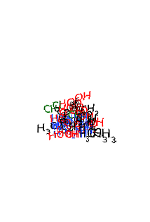 CNNC(=O)[C@@H]1NC(=O)[C@H]2NC(=O)[C@H](NC(=O)[C@@H]3NC(=O)[C@H](CC(N)=O)NC(=O)[C@H](NC(=O)[C@@H](CC(C)C)NC)[C@H](O)c4ccc(c(Cl)c4)Oc4cc3cc(c4O[C@@H]3O[C@H](CO)[C@@H](O)[C@H](O)[C@H]3O[C@H]3C[C@](C)(NCCn4ccc(NC(=O)Cc5ccc(Cl)c(Cl)c5)nc4=O)[C@H](O)[C@H](C)O3)Oc3ccc(cc3Cl)[C@H]2O)c2ccc(O)c(c2)-c2c(O)cc(O)cc21